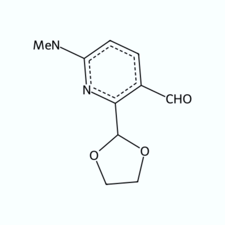 CNc1ccc(C=O)c(C2OCCO2)n1